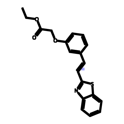 CCOC(=O)COc1cccc(/C=C/c2nc3ccccc3s2)c1